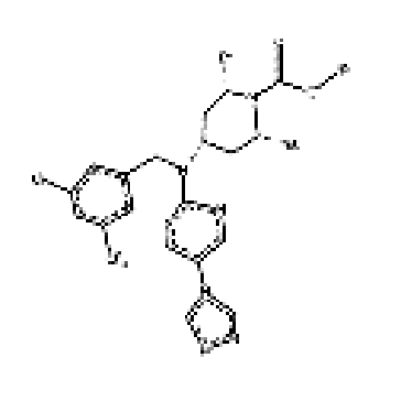 CC[C@@H]1C[C@H](N(Cc2cc(Cl)cc(C(F)(F)F)c2)c2ncc(-n3cnnc3)cn2)C[C@H](CC)N1C(=O)OC(C)C